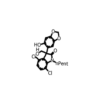 CCCCCN1C(=O)C(CO)(c2cc3c(cc2O)OCO3)c2c(Cl)ccc(Cl)c21